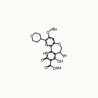 CCCCOc1cc2c(nc1C1CCOCC1)-c1[nH]c(=O)c(C(=O)OC)c(O)c1C(C(C)C)CO2